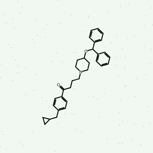 O=C(CCCN1CCC(OC(c2ccccc2)c2ccccc2)CC1)c1ccc(CC2CC2)cc1